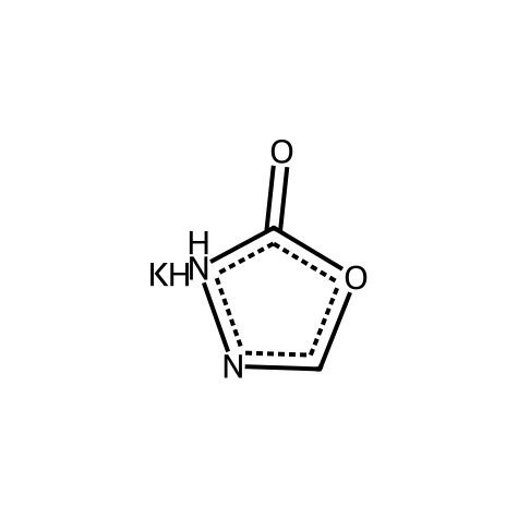 O=c1[nH]nco1.[KH]